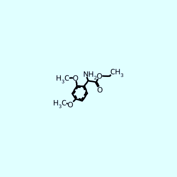 CCOC(=O)C(N)c1ccc(OC)cc1OC